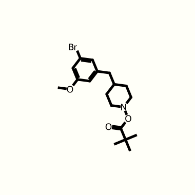 COc1cc(Br)cc(CC2CCN(OC(=O)C(C)(C)C)CC2)c1